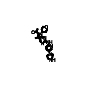 CC(=O)c1c(C)c2cnc(Nc3ccc(N4CCNCC4)cn3)nc2n1C1CCOCC1